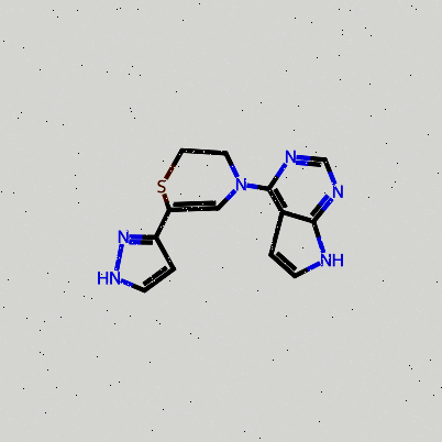 C1=C(c2cc[nH]n2)SCCN1c1ncnc2[nH]ccc12